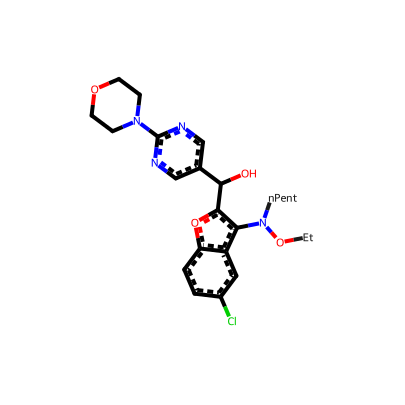 CCCCCN(OCC)c1c(C(O)c2cnc(N3CCOCC3)nc2)oc2ccc(Cl)cc12